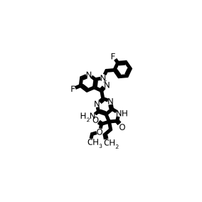 C=CCC1(C(=O)OCC)C(=O)Nc2nc(-c3nn(Cc4ccccc4F)c4ncc(F)cc34)nc(N)c21